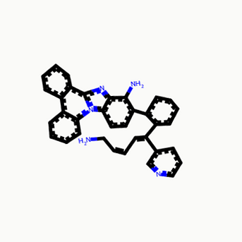 NC/C=C\C=C(c1cccnc1)c1ccccc1-c1ccc2c(nc3c4ccccc4c4ccccc4n23)c1N